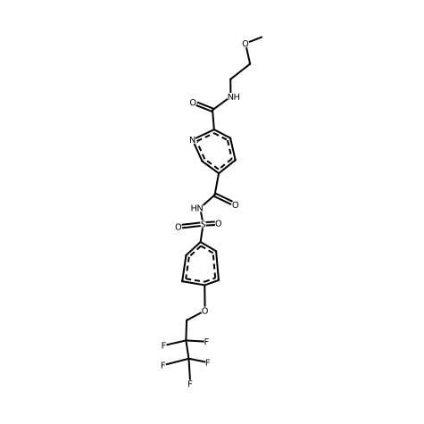 COCCNC(=O)c1ccc(C(=O)NS(=O)(=O)c2ccc(OCC(F)(F)C(F)(F)F)cc2)cn1